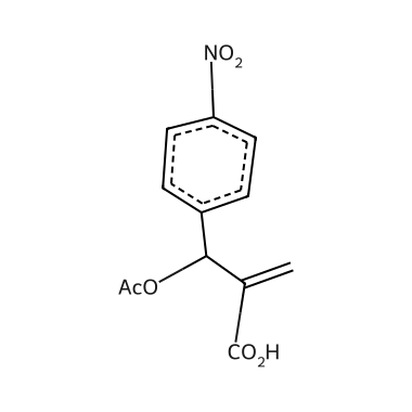 C=C(C(=O)O)C(OC(C)=O)c1ccc([N+](=O)[O-])cc1